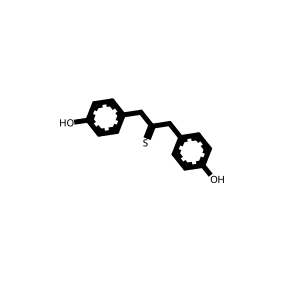 Oc1ccc(CC(=S)Cc2ccc(O)cc2)cc1